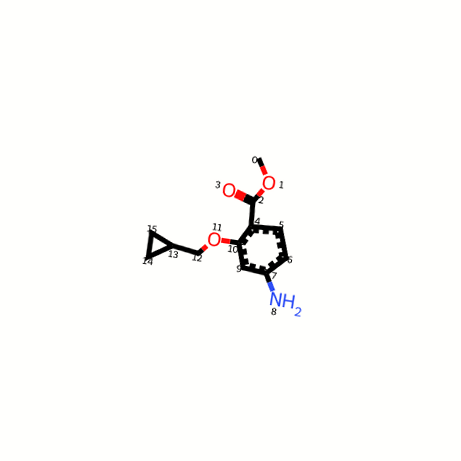 COC(=O)c1ccc(N)cc1OCC1CC1